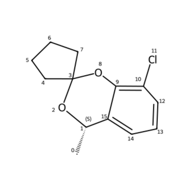 [CH2][C@@H]1OC2(CCCC2)Oc2c(Cl)cccc21